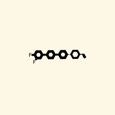 C=C[C@H]1CC[C@H](c2ccc(-c3ccc(-c4ccc(F)c(F)c4)cc3)cc2)CC1